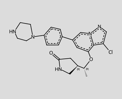 C[C@@H](Oc1cc(-c2ccc(N3CCNCC3)cc2)cn2ncc(Cl)c12)[C@H]1CNC(=O)C1